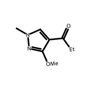 CCC(=O)c1cn(C)nc1OC